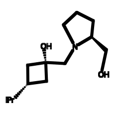 CC(C)[C@H]1C[C@](O)(CN2CCC[C@H]2CO)C1